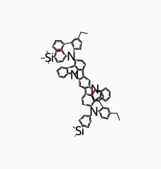 CCc1ccc(N(c2ccc([Si](C)(C)C)cc2)c2ccc3c4cc5c(cc4n4c6ccccc6c2c34)c2ccc(N(c3ccc([Si](C)(C)C)cc3)c3ccc(CC)cc3-c3ccccc3)c3c4ccccc4n5c23)c(-c2ccccc2)c1